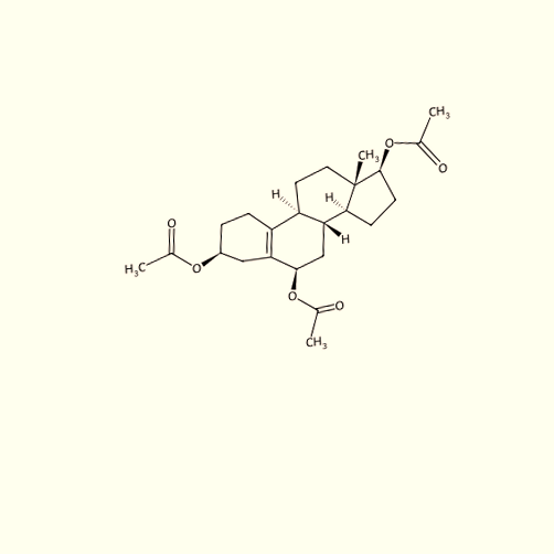 CC(=O)O[C@H]1CCC2=C(C1)[C@H](OC(C)=O)C[C@@H]1[C@@H]2CC[C@]2(C)[C@@H](OC(C)=O)CC[C@@H]12